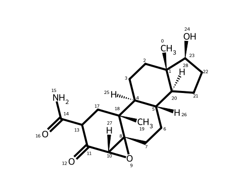 C[C@]12CC[C@H]3[C@@H](CC[C@@]45O[C@@H]4C(=O)C(C(N)=O)C[C@]35C)[C@@H]1CC[C@@H]2O